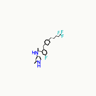 C=C1C=C(NC(=C)c2cc(F)ccc2Cc2ccc(CCCCC(F)(F)F)cc2)C=CN1